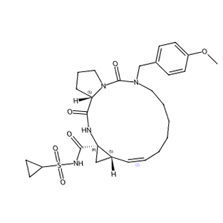 COc1ccc(CN2CCCCC/C=C\[C@@H]3C[C@@]3(C(=O)NS(=O)(=O)C3CC3)NC(=O)[C@@H]3CCCN3C2=O)cc1